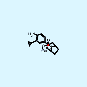 CC(C)(C)OC(=O)N1C2CCC1CN(c1ccc(N)c(C3CC3)c1)C2